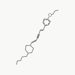 CCCCCC1CCC(C=CC#CC=Cc2ccc(OCCC)cc2)CC1